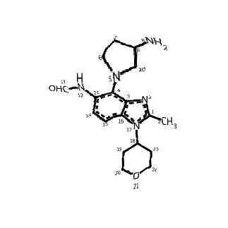 Cc1nc2c(N3CCC(N)C3)c(NC=O)ccc2n1C1CCOCC1